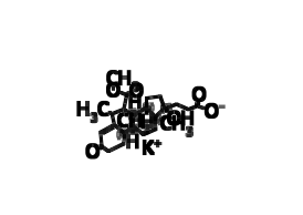 COC(=O)C1C(C)C2=CC(=O)CC[C@]2(C)[C@H]2CC[C@@]3(C)[C@@H](CC[C@]3(O)CCC(=O)[O-])[C@H]12.[K+]